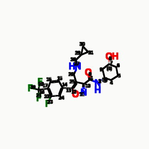 O=C(N[C@H]1CCC[C@@H](O)C1)c1noc(-c2ccc(C(F)(F)F)c(F)c2)c1CNCC1CC1